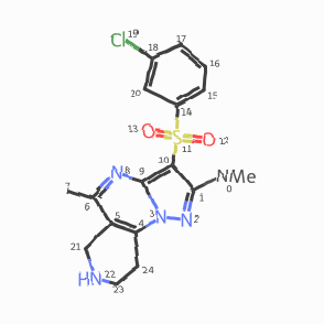 CNc1nn2c3c(c(C)nc2c1S(=O)(=O)c1cccc(Cl)c1)CNCC3